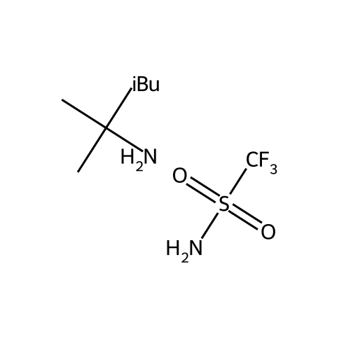 CCC(C)C(C)(C)N.NS(=O)(=O)C(F)(F)F